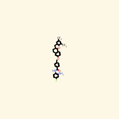 Nc1cc(F)ccc1NC(=O)c1ccc(COc2ccc3c(c2)CCC(Cc2cc(C(F)(F)F)cc(C(F)(F)F)c2)C3=O)cc1